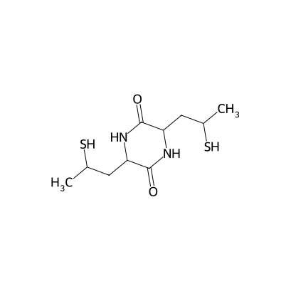 CC(S)CC1NC(=O)C(CC(C)S)NC1=O